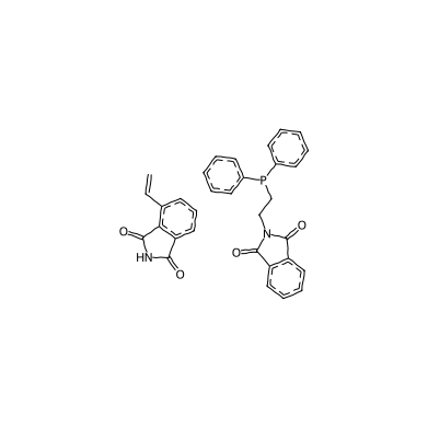 C=Cc1cccc2c1C(=O)NC2=O.O=C1c2ccccc2C(=O)N1CCP(c1ccccc1)c1ccccc1